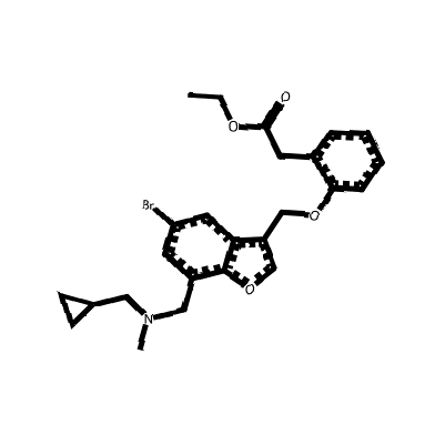 CCOC(=O)Cc1ccccc1OCc1coc2c(CN(C)CC3CC3)cc(Br)cc12